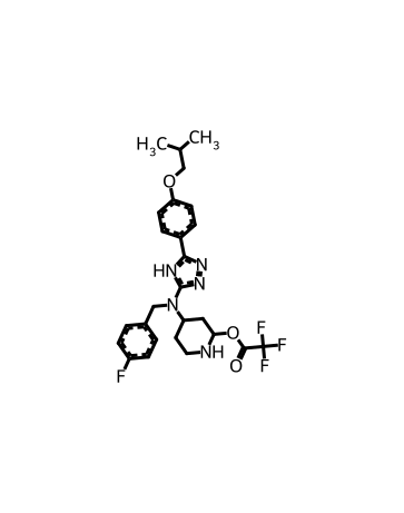 CC(C)COc1ccc(-c2nnc(N(Cc3ccc(F)cc3)C3CCNC(OC(=O)C(F)(F)F)C3)[nH]2)cc1